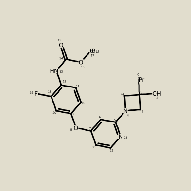 CC(C)C1(O)CN(c2cc(Oc3ccc(NC(=O)OC(C)(C)C)c(F)c3)ccn2)C1